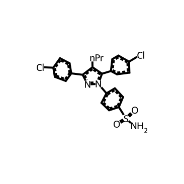 CCCc1c(-c2ccc(Cl)cc2)nn(-c2ccc(S(N)(=O)=O)cc2)c1-c1ccc(Cl)cc1